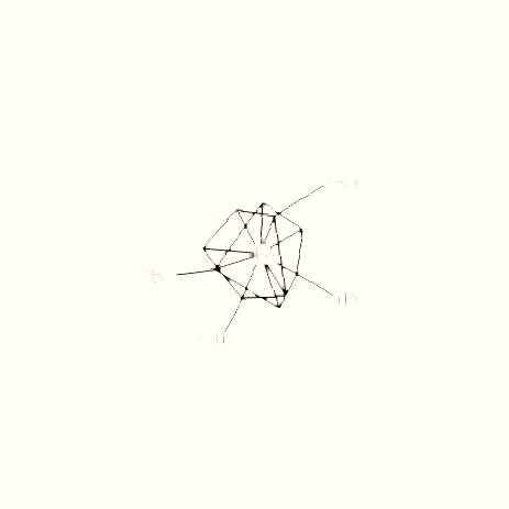 CC(C)(C)[C]12[CH]3[CH]4[C]5(C(C)(C)C)[CH]1[Fe]34251678[CH]2[CH]1[C]6(C(C)(C)C)[CH]7[C]28C(C)(C)C